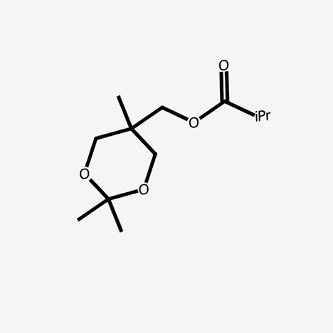 CC(C)C(=O)OCC1(C)COC(C)(C)OC1